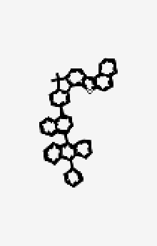 CC1(C)c2ccc(-c3ccc(-c4c5ccccc5c(-c5ccccc5)c5ccccc45)c4ccccc34)cc2-c2c1ccc1c2oc2ccc3ccccc3c21